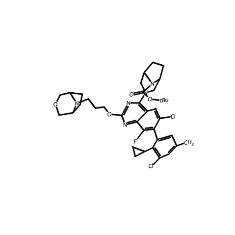 Cc1cc(Cl)c(C2CC2)c(-c2c(Cl)cc3c(N4CC5CCC(C4)N5C(=O)OC(C)(C)C)nc(OCCCN4C5CCC4COC5)nc3c2F)c1